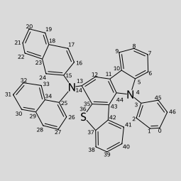 c1ccc(-n2c3ccccc3c3cc(N(c4ccc5ccccc5c4)c4cccc5ccccc45)c4sc5ccccc5c4c32)cc1